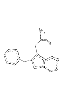 NC(=O)Cc1c(-c2ccccc2)cn2ccccc12